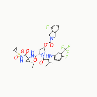 CC[C@@H]1C[C@]1(NC(=O)[C@@H]1C[C@@H](OC(=O)N2Cc3cccc(F)c3C2)CN1C(=O)[C@@H](Nc1ccc(F)c(C(F)(F)F)c1)C(C)C)C(=O)NS(=O)(=O)C1CC1